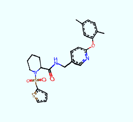 Cc1ccc(C)c(Oc2ccc(CNC(=O)C3CCCCN3S(=O)(=O)c3cccs3)cn2)c1